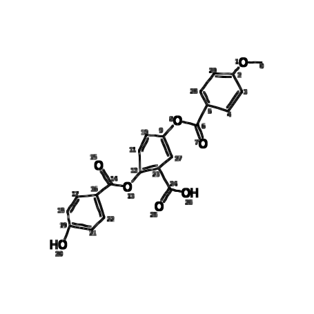 COc1ccc(C(=O)Oc2ccc(OC(=O)c3ccc(O)cc3)c(C(=O)O)c2)cc1